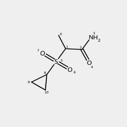 CC(C(N)=O)S(=O)(=O)C1CC1